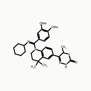 COc1ccc(/C(=N/C2CCCCC2)N2CCC(C)(C)c3cc(C4=NNC(=O)SC4C)ccc32)cc1OC